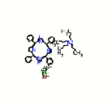 C1=Cc2nc1c(-c1ccccc1)c1ccc([nH]1)c(-c1ccccc1)c1nc(c(-c3ccccc3)c3ccc([nH]3)c2-c2ccccc2)C=C1.CCCC[N+](CCCC)(CCCC)CCCC.[Al+3].[Br-].[Cl-].[Cl-].[Cl-]